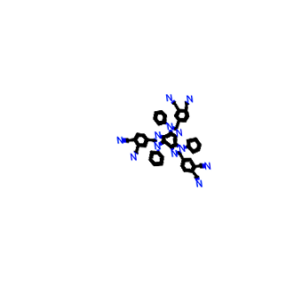 N#Cc1ccc(-c2nc3c(c4nc(-c5ccc(C#N)c(C#N)c5)n(-c5ccccc5)c4c4nc(-c5ccc(C#N)c(C#N)c5)n(-c5ccccc5)c34)n2-c2ccccc2)cc1C#N